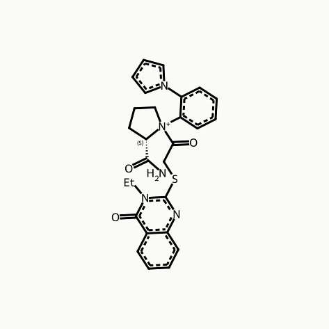 CCn1c(SCC(=O)[N+]2(c3ccccc3-n3cccc3)CCC[C@H]2C(N)=O)nc2ccccc2c1=O